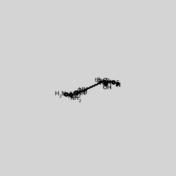 Cc1ncsc1-c1ccc([C@@H](C)NC(=O)[C@H]2C[C@H](O)CN2C(=O)[C@H](NC(=O)CCCCCCCCCCCNC(=O)CCC(=O)Nc2cccc(Sc3ncc(N4CCC(C)(N)CC4)nc3N)c2Cl)C(C)(C)C)cc1